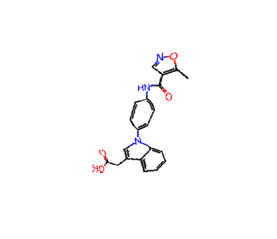 Cc1oncc1C(=O)Nc1ccc(-n2cc(CC(=O)O)c3ccccc32)cc1